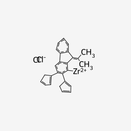 CC(C)=C1c2ccccc2-c2cc(C3=CC=CC3)c(C3=CC=CC3)[c]([Zr+2])c21.[Cl-].[Cl-]